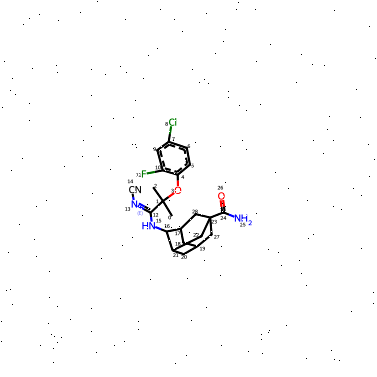 CC(C)(Oc1ccc(Cl)cc1F)/C(=N\C#N)NC1C2CC3CC1CC(C(N)=O)(C3)C2